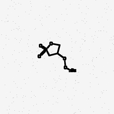 CCCCOOC1COS(=O)(=O)C1